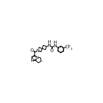 O=C(Nc1cccc(C(F)(F)F)c1)NC1CC2(C1)CN(C(=O)c1cnc3n1CCC3)C2